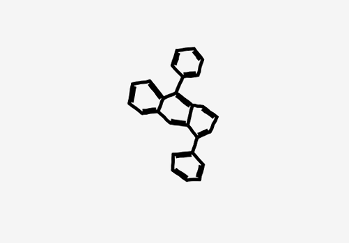 c1ccc(-c2cccc3c(-c4ccccc4)c4ccccc4cc23)cc1